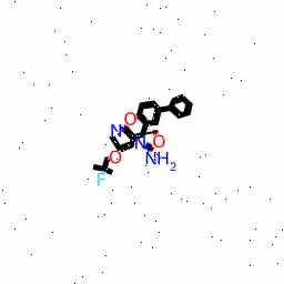 CC(C)(F)COc1cnc2c(c1)[C@]1(COC(N)=N1)c1cc(-c3ccccc3)ccc1O2